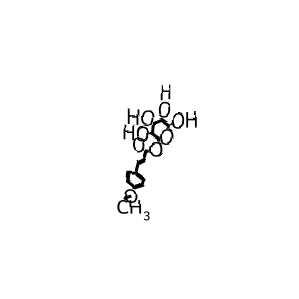 CCOc1ccc(/C=C/C(=O)OC2O[C@@H](O)[C@H](O)[C@@H](O)[C@@H]2O)cc1